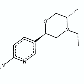 CCN1C[C@@H](c2ccc(N)nc2)OC[C@@H]1C